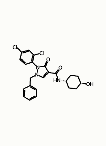 O=C(N[C@H]1CC[C@H](O)CC1)c1cn(Cc2ccccc2)n(-c2ccc(Cl)cc2Cl)c1=O